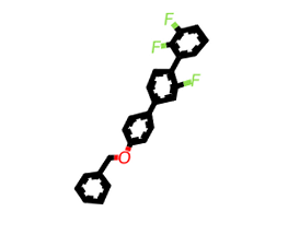 Fc1cc(-c2ccc(OCc3ccccc3)cc2)ccc1-c1cccc(F)c1F